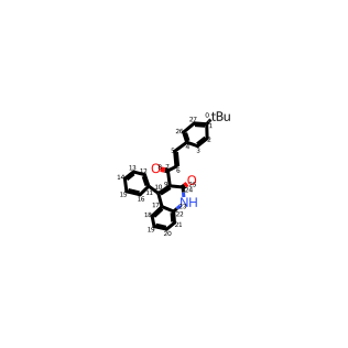 CC(C)(C)c1ccc(/C=C/C(=O)c2c(-c3ccccc3)c3ccccc3[nH]c2=O)cc1